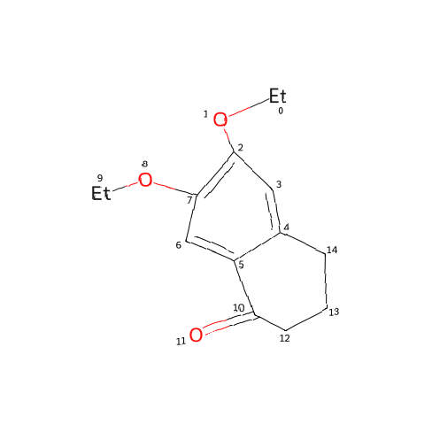 CCOc1cc2c(cc1OCC)C(=O)CCC2